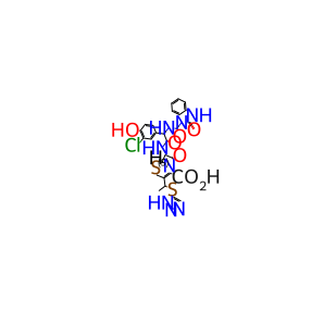 CC(Sc1cnn[nH]1)C1=C(C(=O)O)N2C(=O)C(NC(=O)C(NC(=O)n3c(=O)[nH]c4ccccc43)c3ccc(O)c(Cl)c3)[C@@H]2SC1